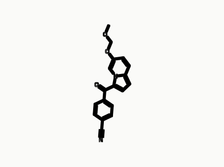 COCOc1ccc2ccc(C(=O)c3ccc(C#N)cc3)n2c1